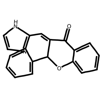 O=C1/C(=C/c2ncc[nH]2)C(c2ccccc2)Oc2ccccc21